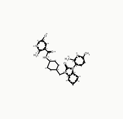 Cc1ccc(-n2c(=O)n(CC3CCC(NC(=O)c4cc(Cl)cnc4C)CC3)c3ccccc32)c(C)n1